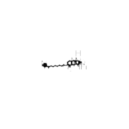 CC(C)C1C(=O)NC2=Nc3ccc(OCCCCCCCCn4ccnc4)c(Cl)c3CN21